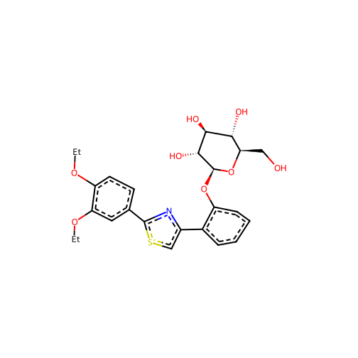 CCOc1ccc(-c2nc(-c3ccccc3O[C@@H]3O[C@H](CO)[C@@H](O)[C@H](O)[C@H]3O)cs2)cc1OCC